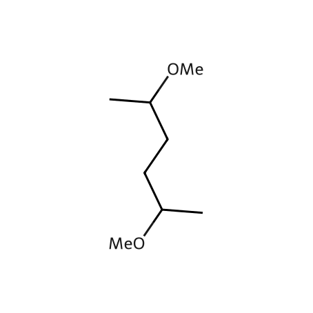 COC(C)CCC(C)OC